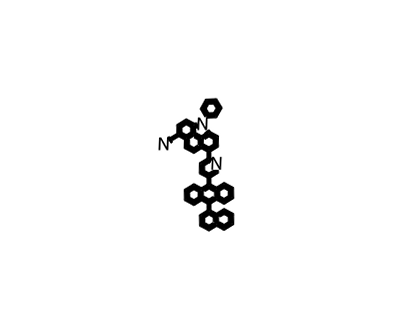 N#Cc1ccc2c3c1ccc1c(-c4ccc(-c5c6ccccc6c(-c6cccc7ccccc67)c6ccccc56)cn4)ccc(c13)n2-c1ccccc1